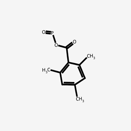 Cc1cc(C)c(C(=O)OP=O)c(C)c1